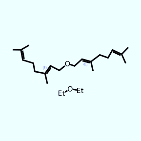 CC(C)=CCC/C(C)=C/COC/C=C(\C)CCC=C(C)C.CCOCC